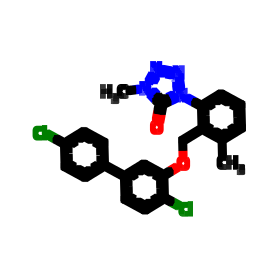 Cc1cccc(-n2nnn(C)c2=O)c1COc1cc(-c2ccc(Cl)cc2)ccc1Cl